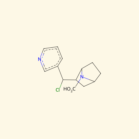 O=C(O)N1C2CCC1C(C(Cl)c1cccnc1)C2